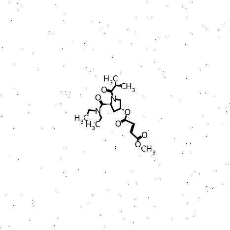 CCN(CC)C(=O)[C@@H]1C[C@@H](OC(=O)/C=C/C(=O)OC)CN1C(=O)C(C)C